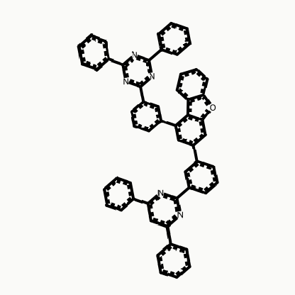 c1ccc(-c2cc(-c3ccccc3)nc(-c3cccc(-c4cc(-c5cccc(-c6nc(-c7ccccc7)nc(-c7ccccc7)n6)c5)c5c(c4)oc4ccccc45)c3)n2)cc1